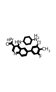 CCCC(=O)c1cnc2ccc(-c3cc(F)c(C)c(Cl)c3)cc2c1N[C@H]1CC[C@H](N)CC1